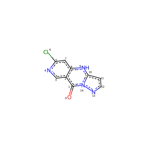 O=c1c2cnc(Cl)cc2[nH]c2ccnn12